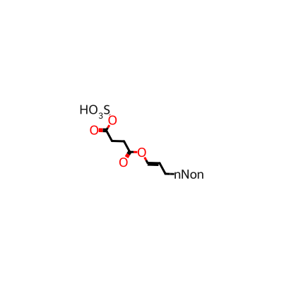 CCCCCCCCCCC=COC(=O)CCC(=O)OS(=O)(=O)O